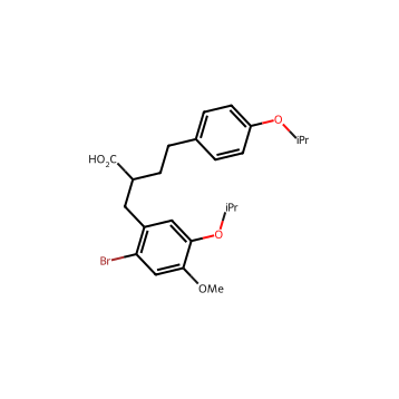 COc1cc(Br)c(CC(CCc2ccc(OC(C)C)cc2)C(=O)O)cc1OC(C)C